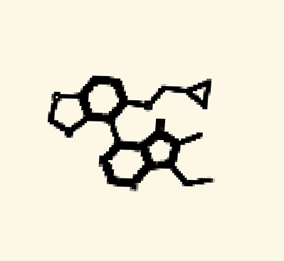 [CH2]Cc1c(C)[nH]c2c(-c3c(OCC4CC4)ccc4c3OCO4)ncnc12